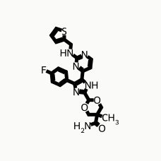 CC1(C(N)=O)COC(c2nc(-c3ccc(F)cc3)c(-c3ccnc(NCc4cccs4)n3)[nH]2)OC1